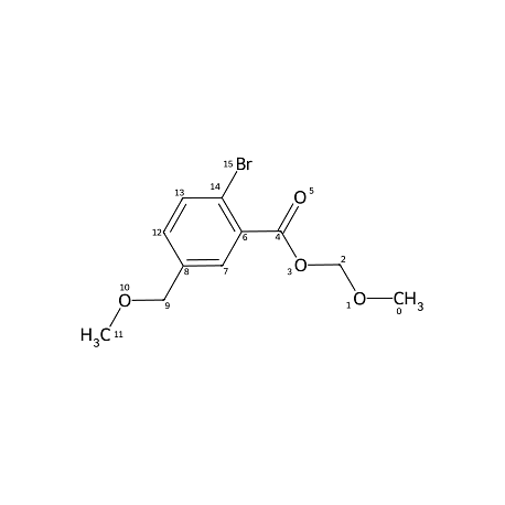 COCOC(=O)c1cc(COC)ccc1Br